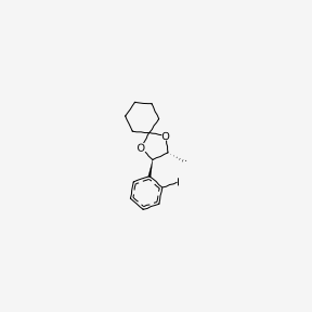 [CH2][C@H]1OC2(CCCCC2)O[C@@H]1c1ccccc1I